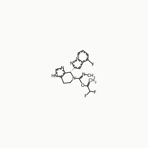 C=C(O/C(=N\C)N1CCc2[nH]cnc2[C@@H]1c1cc2c(F)cccn2n1)C(F)F